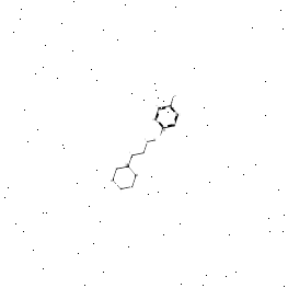 Cc1ccc(OCCCC2CCCCC2)cc1